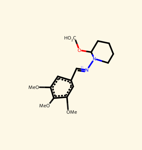 COc1cc(/C=N/N2CCCCC2OC(=O)O)cc(OC)c1OC